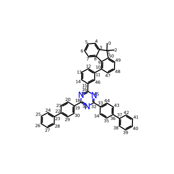 CC1(C)c2ccccc2-c2c(-c3cccc(-c4nc(-c5ccc(-c6ccccc6)cc5)nc(-c5ccc(-c6ccccc6)cc5)n4)c3)cccc21